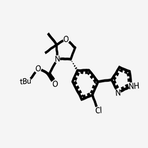 CC(C)(C)OC(=O)N1[C@@H](c2ccc(Cl)c(-c3cc[nH]n3)c2)COC1(C)C